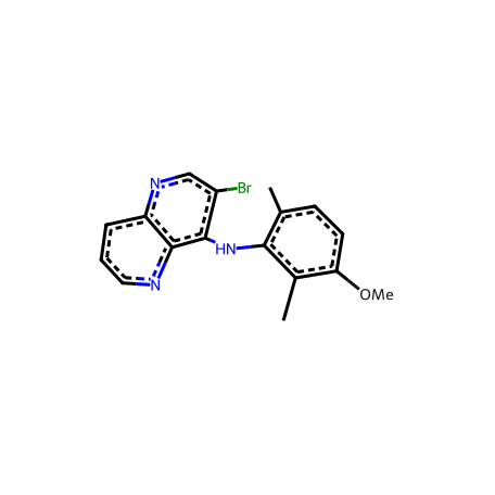 COc1ccc(C)c(Nc2c(Br)cnc3cccnc23)c1C